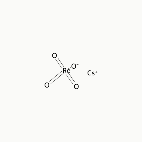 [Cs+].[O]=[Re](=[O])(=[O])[O-]